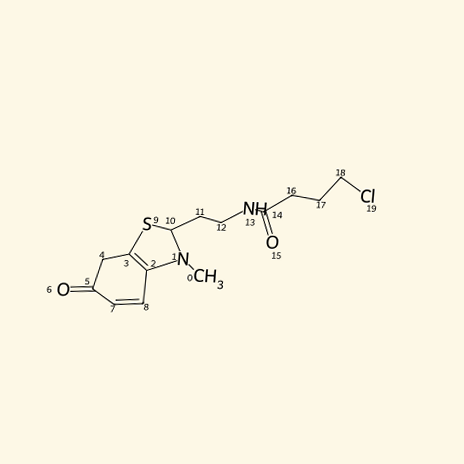 CN1C2=C(CC(=O)C=C2)SC1CCNC(=O)CCCCl